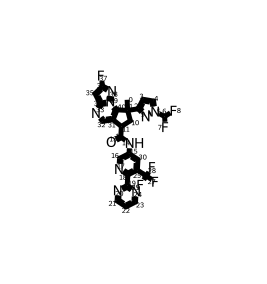 CC1(c2ccn(C(F)F)n2)CC(C(=O)Nc2cnc(-c3ncccn3)c(C(F)(F)F)c2)c2cnc3cc(F)nn3c21